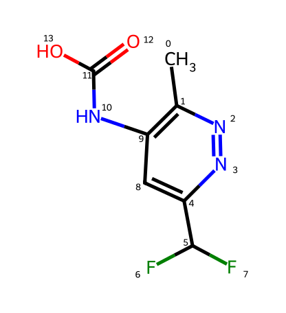 Cc1nnc(C(F)F)cc1NC(=O)O